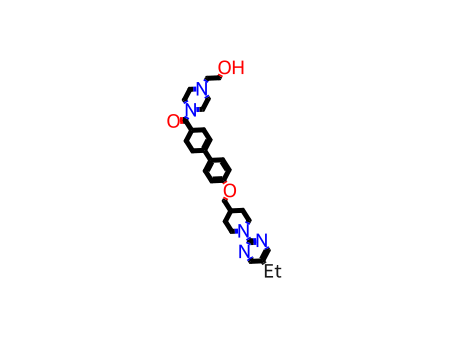 CCc1cnc(N2CCC(COc3ccc(C4=CCC(C(=O)N5CCN(CCO)CC5)CC4)cc3)CC2)nc1